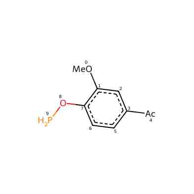 COc1cc(C(C)=O)ccc1OP